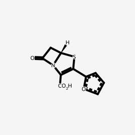 O=C(O)C1=C(c2ccco2)S[C@H]2CC(=O)N12